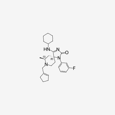 C[C@H]1C[C@]2(CCN1CC1=CCCC1)C(NC1CCCCC1)=NC(=O)N2c1cccc(F)c1